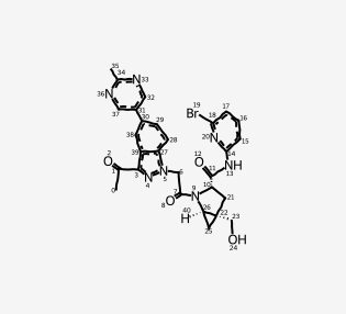 CC(=O)c1nn(CC(=O)N2[C@H](C(=O)Nc3cccc(Br)n3)C[C@@]3(CO)C[C@@H]23)c2ccc(-c3cnc(C)nc3)cc12